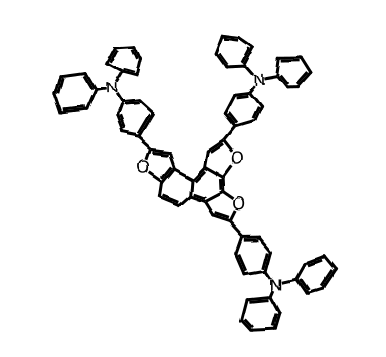 c1ccc(N(c2ccccc2)c2ccc(-c3cc4c(ccc5c6cc(-c7ccc(N(c8ccccc8)c8ccccc8)cc7)oc6c6oc(-c7ccc(N(c8ccccc8)c8ccccc8)cc7)cc6c45)o3)cc2)cc1